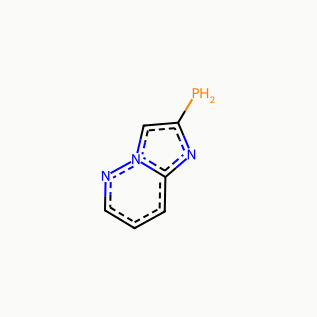 Pc1cn2ncccc2n1